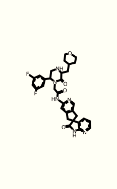 O=C(CN1C(=O)C(CC2CCOCC2)NCC1c1cc(F)cc(F)c1)Nc1cc2c(cn1)CC1(C2)C(=O)Nc2ncccc21